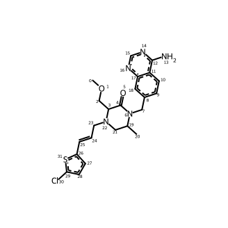 COCC1C(=O)N(Cc2ccc3c(N)ncnc3c2)C(C)CN1CC=Cc1ccc(Cl)s1